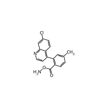 Cc1ccc(C(=O)ON)c(-c2ccnc3cc(Cl)ccc23)c1